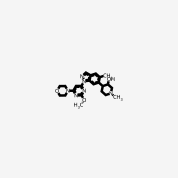 COc1nc(N2CCOCC2)cc(-n2ncc3cc(C)c(C4CCN(C)CC4O)cc32)n1